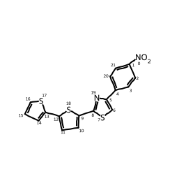 O=[N+]([O-])c1ccc(-c2csc(-c3ccc(-c4cccs4)s3)n2)cc1